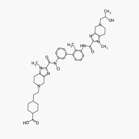 Cc1c(NC(=O)c2nc3c(n2C)CCN(CC(C)O)C3)cccc1-c1cccc(N(Cl)C(=O)c2nc3c(n2C)CCN(CCC2CCC(C(=O)O)CC2)C3)c1